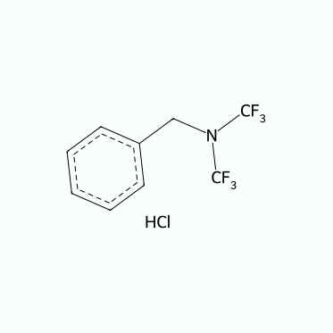 Cl.FC(F)(F)N(Cc1ccccc1)C(F)(F)F